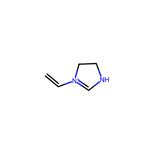 C=C[N+]1=CNCC1